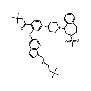 CC(C)(C)OC(=O)c1ccc(N2CCN(C3CN(S(C)(=O)=O)CCc4ccccc43)CC2)cc1Oc1cnc2c(ccn2COCC[Si](C)(C)C)c1